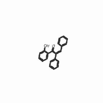 O=C(C(=Cc1ccccc1)c1ccccc1)c1ccccc1O